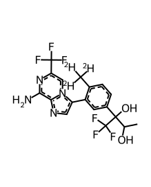 [2H]C([2H])([2H])c1ccc(C(O)(C(C)O)C(F)(F)F)cc1-c1cnc2c(N)nc(C(F)(F)F)cn12